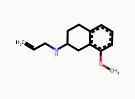 C=CCNC1CCc2cccc(OC)c2C1